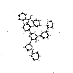 O=P(c1ccccc1)(c1ccccc1)c1cccc(-c2nc(-c3cccc(-c4ccccc4)c3)nc(-c3cccc(-c4cccnc4)c3)n2)c1